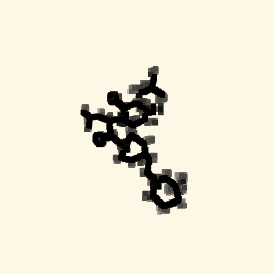 CC(C)CC(C(=O)N1CCC(CCN2CCC[C@@H](C)C2)CC1)N1CCN[C@@H](CC(C)C)C1=O